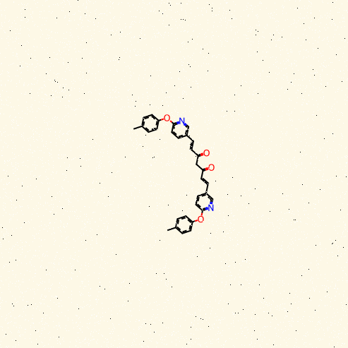 Cc1ccc(Oc2ccc(C=CC(=O)CC(=O)C=Cc3ccc(Oc4ccc(C)cc4)nc3)cn2)cc1